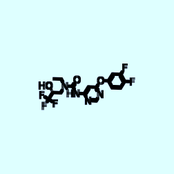 CCN(C[C@@H](O)C(F)(F)F)C(=O)Nc1cc(Oc2ccc(F)c(F)c2)ncn1